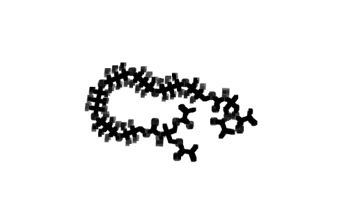 C=C(C)C(=O)OCC(C)(COC(=O)C(=C)C)NC(=O)OCC(F)(F)C(F)(F)OC(F)(F)C(F)(F)C(F)(F)OC(F)(F)C(F)(F)C(F)(F)OC(F)(F)C(F)(F)C(F)(F)OC(F)(F)C(F)(F)C(F)(F)OC(F)(F)C(F)(F)C(F)(F)OC(F)(F)C(F)(F)COC(=O)NC(C)(COC(=O)C(=C)C)COC(=O)C(=C)C